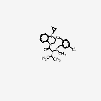 CC(C)[C@@H](C(=O)N1CCN(C2CC2)c2ccccc21)N(C)Cc1cc(Cl)ccc1Cl